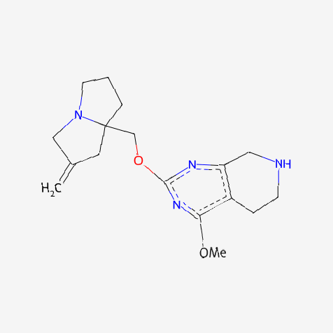 C=C1CN2CCCC2(COc2nc3c(c(OC)n2)CCNC3)C1